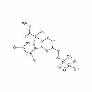 COC(=O)C(C)(c1cc(Cl)cc(Cl)c1)N1CCC(CO[Si](C)(C)C(C)(C)C)CC1